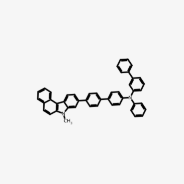 Cn1c2cc(-c3ccc(-c4ccc(N(c5ccccc5)c5cccc(-c6ccccc6)c5)cc4)cc3)ccc2c2c3ccccc3ccc21